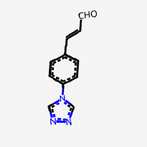 O=CC=Cc1ccc(-n2cnnc2)cc1